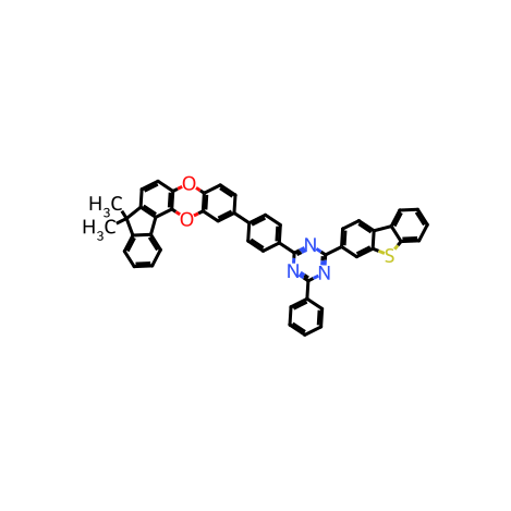 CC1(C)c2ccccc2-c2c1ccc1c2Oc2cc(-c3ccc(-c4nc(-c5ccccc5)nc(-c5ccc6c(c5)sc5ccccc56)n4)cc3)ccc2O1